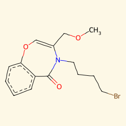 COCC1=COc2ccccc2C(=O)N1CCCCBr